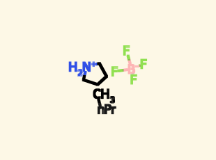 C1CC[NH2+]C1.CCCC.F[B-](F)(F)F